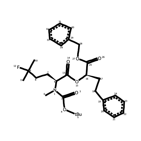 CN(C(=O)OC(C)(C)C)[C@@H](CCC(C)(C)F)C(=O)O[C@H](CCc1ccccc1)C(=O)OCc1ccccc1